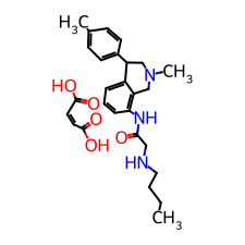 CCCCNCC(=O)Nc1cccc2c1CN(C)CC2c1ccc(C)cc1.O=C(O)/C=C\C(=O)O